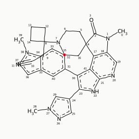 CN1C(=O)C2(CCN(C3(CC#N)CCC3)CC2)c2c1cnc1[nH]c(-c3cnn(C)c3)c(-c3ccc4c(cnn4C)c3)c21